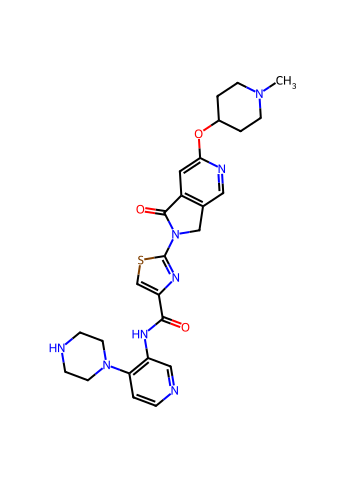 CN1CCC(Oc2cc3c(cn2)CN(c2nc(C(=O)Nc4cnccc4N4CCNCC4)cs2)C3=O)CC1